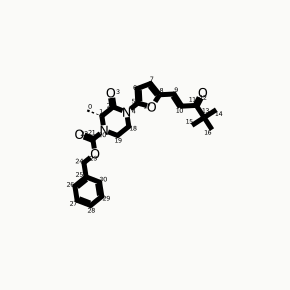 C[C@@H]1C(=O)N(c2ccc(C=CC(=O)C(C)(C)C)o2)CCN1C(=O)OCc1ccccc1